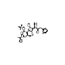 CC(=O)OCC1=C(C(=O)OC(C)(C)C)N2C(=O)C(NC(=O)Cc3cccs3)C2SC1